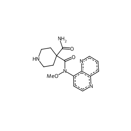 CON(C(=O)C1(C(N)=O)CCNCC1)c1ccnc2cccnc12